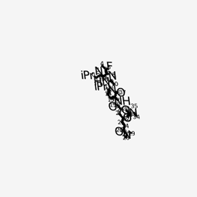 CC(C)Cc1ncc(F)c2nc(Cn3c(C(C)C)ccc(NC(=O)[C@H](CC/C=C/C(=O)N(C)C)OC(=O)N(C)C)c3=O)[nH]c12